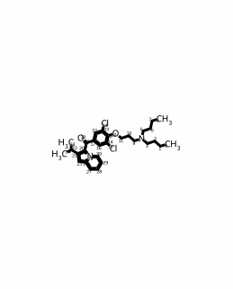 CCCCN(CCCC)CCCOc1c(Cl)cc(C(=O)c2c(C(C)C)cc3ccccn23)cc1Cl